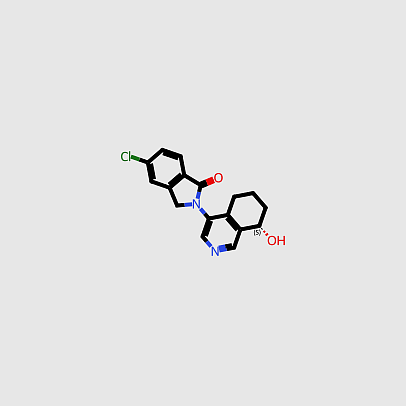 O=C1c2ccc(Cl)cc2CN1c1cncc2c1CCC[C@@H]2O